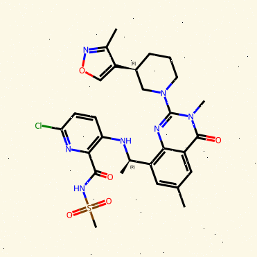 Cc1cc([C@@H](C)Nc2ccc(Cl)nc2C(=O)NS(C)(=O)=O)c2nc(N3CCC[C@H](c4conc4C)C3)n(C)c(=O)c2c1